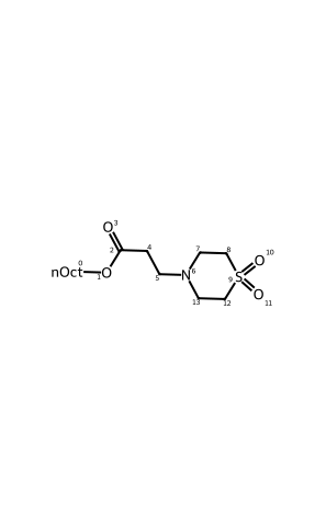 CCCCCCCCOC(=O)CCN1CCS(=O)(=O)CC1